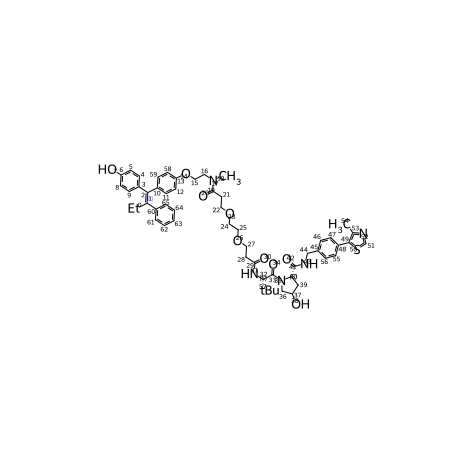 CC/C(=C(\c1ccc(O)cc1)c1ccc(OCCN(C)C(=O)CCOCCOCCC(=O)N[C@H](C(=O)N2CC(O)C[C@H]2C(=O)NCc2ccc(-c3scnc3C)cc2)C(C)(C)C)cc1)c1ccccc1